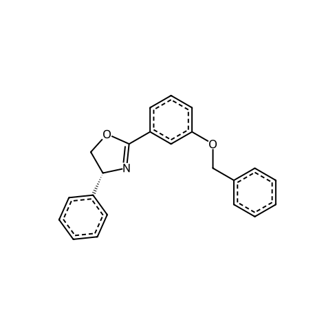 c1ccc(COc2cccc(C3=N[C@H](c4ccccc4)CO3)c2)cc1